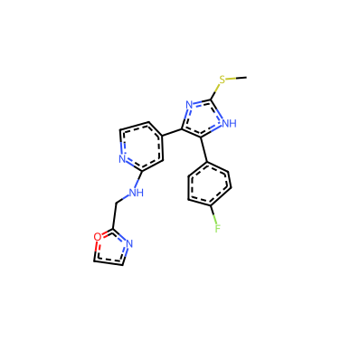 CSc1nc(-c2ccnc(NCc3ncco3)c2)c(-c2ccc(F)cc2)[nH]1